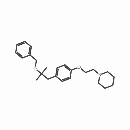 CC(C)([CH]c1ccc(OCCN2CCCCC2)cc1)OCc1ccccc1